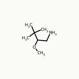 COC(CN)C(C)(C)C